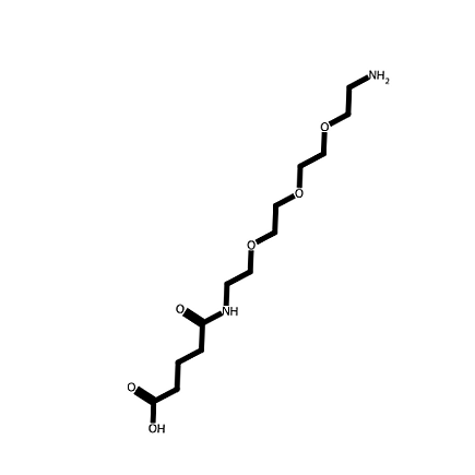 NCCOCCOCCOCCNC(=O)CCCC(=O)O